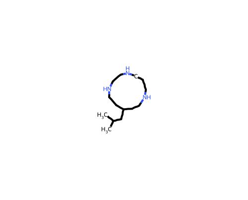 CC(C)CC1CCNCCCNCCNCC1